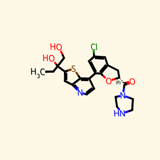 CCC(O)(CO)c1cc2nccc(-c3cc(Cl)cc4c3O[C@@H](C(=O)N3CCNCC3)C4)c2s1